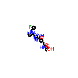 CCC(NC(=O)CCc1ccc([C@@]2(C)C(=O)Nc3nc(-c4nn(Cc5ccccc5F)c5ncccc45)nc(N)c32)cc1)C(=O)O